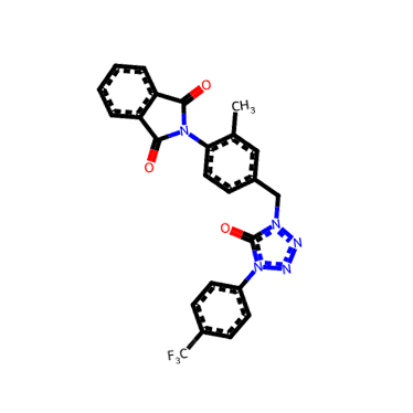 Cc1cc(Cn2nnn(-c3ccc(C(F)(F)F)cc3)c2=O)ccc1N1C(=O)c2ccccc2C1=O